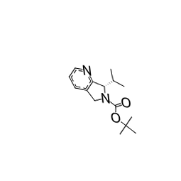 CC(C)[C@H]1c2ncccc2CN1C(=O)OC(C)(C)C